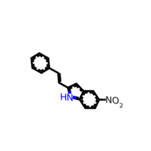 O=[N+]([O-])c1ccc2[nH]c(C=Cc3ccccc3)cc2c1